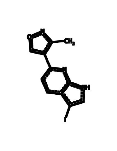 Cc1nocc1-c1ccc2c(I)c[nH]c2n1